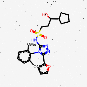 COc1cccc(OC)c1-n1c(NS(=O)(=O)CCC(O)C2CCCC2)nnc1-c1ccco1